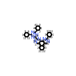 c1ccc(-c2nc(-c3ccccc3)nc(-c3ncc4c5ccccc5c5cnc(-c6ccccc6)nc5c4n3)n2)cc1